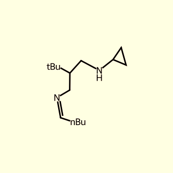 CCCC/C=N\CC(CNC1CC1)C(C)(C)C